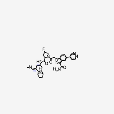 C=N/C=C(\C=C(/C)NC(=O)C1CC(F)CN1C(=O)Cn1nc(C(N)=O)c2cc(-c3ccnnc3)ccc21)C1CC2CCC1N2